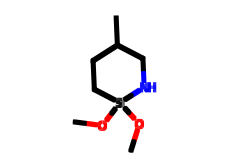 CO[Si]1(OC)CCC(C)CN1